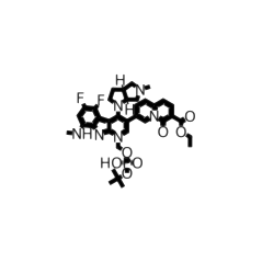 CCOC(=O)c1ccc2ccc(-c3cn(COP(=O)(O)OC(C)(C)C)c4nc5c(NC)cc(F)c(F)c5c-4c3N3CC[C@H]4CN(C)C[C@H]43)cn2c1=O